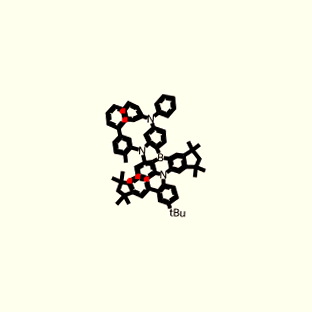 Cc1cc2c3c(c1)N(c1ccc(C(C)(C)C)cc1-c1ccc4c(c1)C(C)(C)CC4(C)C)c1cc4c(cc1B3c1ccc(N(c3ccccc3)c3ccccc3)cc1N2c1cc(-c2ccccc2)ccc1C)C(C)(C)CC4(C)C